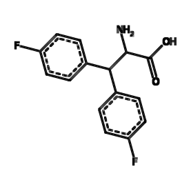 NC(C(=O)O)C(c1ccc(F)cc1)c1ccc(F)cc1